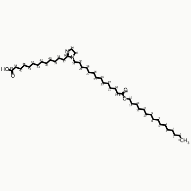 CCCCCCCCCCCCCCCCOC(=O)CCCCCCCCCCCCCN1CCN=C1CCCCCCCCCCCCC(=O)O